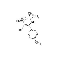 Cc1ccc(/C(NC(C)(C)C)=C(\Br)C=N)cc1